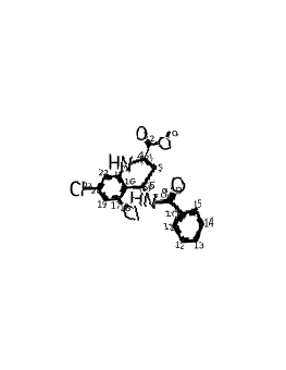 COC(=O)[C@H]1C[C@H](NC(=O)c2ccccc2)c2c(Cl)cc(Cl)cc2N1